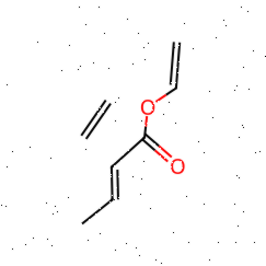 C=C.C=COC(=O)C=CC